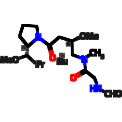 CC[C@H](C)C([C@@H](CC(=O)N1CCC[C@H]1C(OC)C(C)C)OC)N(C)C(=O)CNC=O